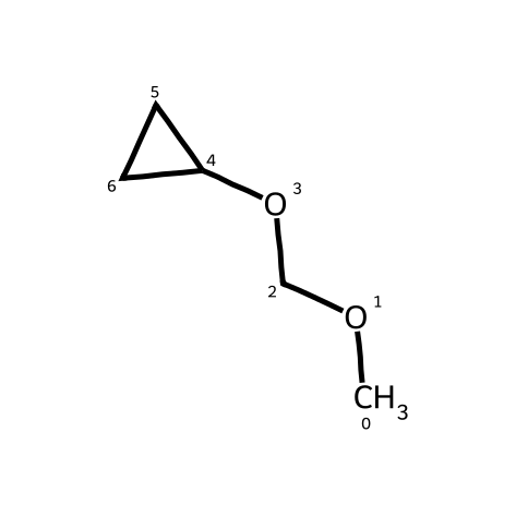 COCOC1CC1